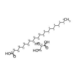 CCCCCCCCCCCCCCCCCCCCCC(=O)O.O=C(O)C(O)CO